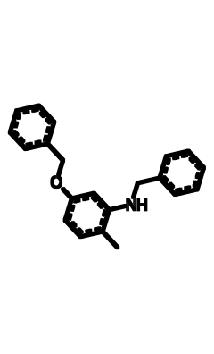 Cc1ccc(OCc2ccccc2)cc1NCc1ccccc1